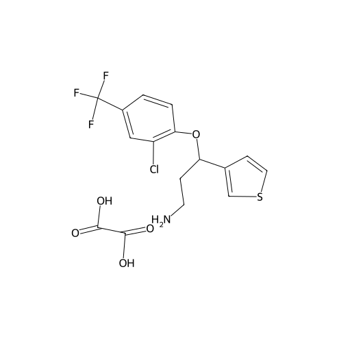 NCCC(Oc1ccc(C(F)(F)F)cc1Cl)c1ccsc1.O=C(O)C(=O)O